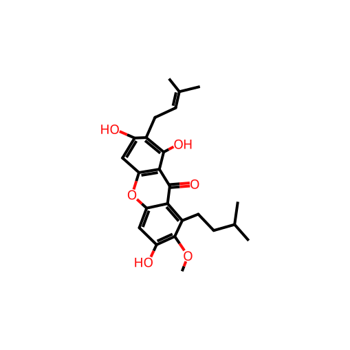 COc1c(O)cc2oc3cc(O)c(CC=C(C)C)c(O)c3c(=O)c2c1CCC(C)C